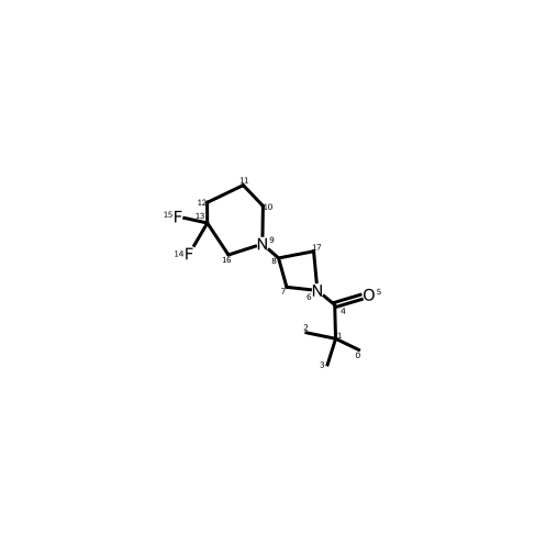 CC(C)(C)C(=O)N1CC(N2CCCC(F)(F)C2)C1